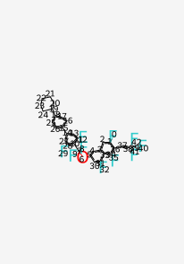 Fc1cc2cc(OC(F)(F)c3c(F)cc(-c4ccc(C5CCCCC5)cc4)cc3F)cc(F)c2c(F)c1C#CC(F)(F)F